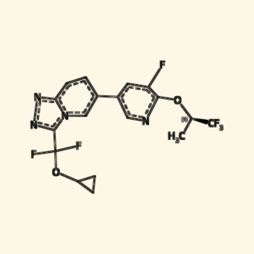 C[C@@H](Oc1ncc(-c2ccc3nnc(C(F)(F)OC4CC4)n3c2)cc1F)C(F)(F)F